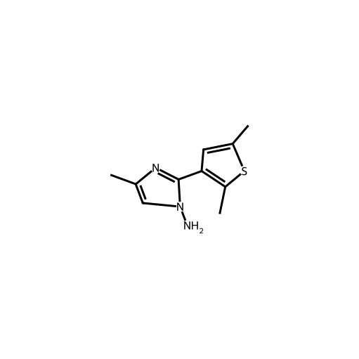 Cc1cn(N)c(-c2cc(C)sc2C)n1